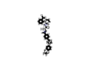 C/C(=C\NC(=O)/N=C1\SCCCN1c1ccccc1C(C)C)c1ccc(-c2ncn(-c3ccc(OC(F)(F)F)cc3)n2)cc1